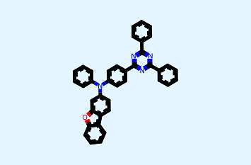 c1ccc(-c2nc(-c3ccccc3)nc(-c3ccc(N(c4ccccc4)c4ccc5c(c4)oc4ccccc45)cc3)n2)cc1